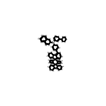 c1ccc(-c2cccc(N(c3ccc(-c4cccc5c4-c4ccccc4C54c5ccccc5C5(c6ccccc6-c6ccccc65)c5ccccc54)cc3)c3ccc4ccccc4c3)c2)cc1